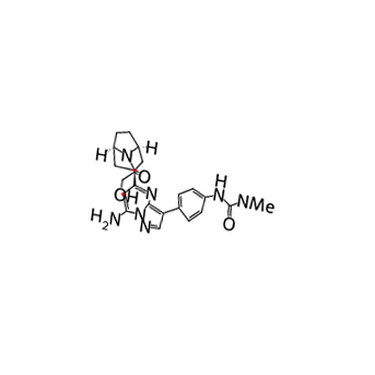 CNC(=O)Nc1ccc(-c2cnn3c(N)cc([C@H]4C[C@H]5CC[C@@H](C4)N5C(=O)CO)nc23)cc1